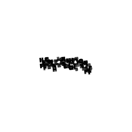 CCC(Nc1nc2ccc(Nc3cc(C(F)(F)F)n(C)n3)cc2n1C)c1ccc(Oc2ncc(C(F)(F)F)cn2)cc1